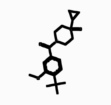 COc1cc(C(=O)N2CCP(=O)(C3CC3)CC2)ccc1C(C)(C)C